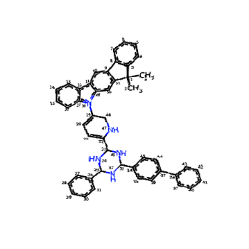 CC1(C)c2ccccc2-c2cc3c4ccccc4n(C4=CC=C(C5NC(c6ccccc6)NC(c6ccc(-c7ccccc7)cc6)N5)NC4)c3cc21